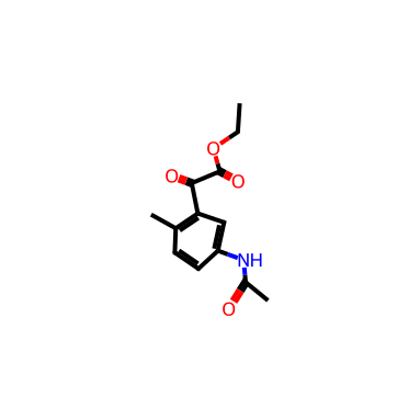 CCOC(=O)C(=O)c1cc(NC(C)=O)ccc1C